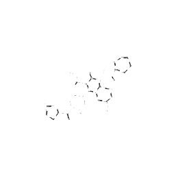 CCOC(=O)c1c(N2CCN(C(=O)c3cccs3)CC2)c2cc(F)cnc2n(CC(=O)c2ccccc2)c1=O